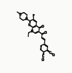 CCn1cc(C(=O)C=Cc2ccc(=C=O)c(=C=O)c2)c(=O)c2cc(F)c(N3CCN(C)CC3)nc21